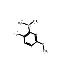 COc1ccc(C)c(N(C)C)c1